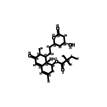 CCC(C)(C)C(=O)O[C@H]1CC(C)=CC2=CC(=O)[C@@H](C)[C@@H](CC[C@@H]3C[C@@H](O)CC(=O)O3)[C@@H]21